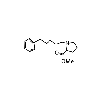 COC(=O)[C@@H]1CCCN1CCCCCc1ccccc1